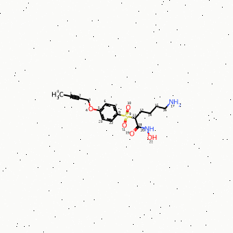 CC#CCOc1ccc(S(=O)(=O)C(CCCCN)C(=O)NO)cc1